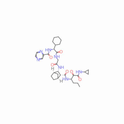 CCCC(NC(=O)[C@@H]1[C@H]2CC[C@H](C2)[C@@H]1NC(=O)CNC(=O)[C@@H](NC(=O)c1cnccn1)C1CCCCC1)C(=O)C(=O)NC1CC1